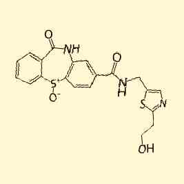 O=C(NCc1cnc(CCO)s1)c1ccc2c(c1)NC(=O)c1ccccc1[S+]2[O-]